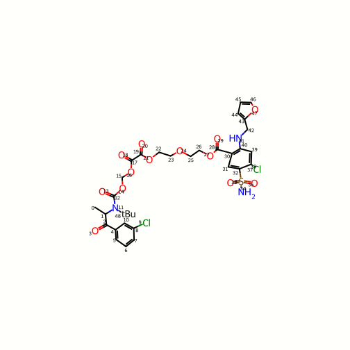 CC(C(=O)c1cccc(Cl)c1)N(C(=O)OCOC(=O)C(=O)OCCOCCOC(=O)c1cc(S(N)(=O)=O)c(Cl)cc1NCc1ccco1)C(C)(C)C